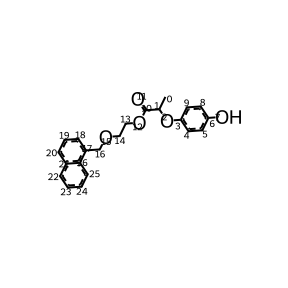 CC(Oc1ccc(O)cc1)C(=O)OCCOCc1cccc2ccccc12